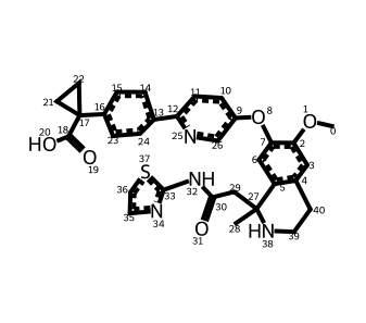 COc1cc2c(cc1Oc1ccc(-c3ccc(C4(C(=O)O)CC4)cc3)nc1)C(C)(CC(=O)Nc1nccs1)NCC2